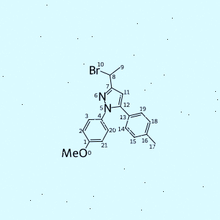 COc1ccc(-n2nc(C(C)Br)cc2-c2ccc(C)cc2)cc1